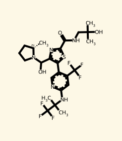 C[C@H]1CCCN1C(O)c1nc(C(=O)NCC(C)(C)O)sc1-c1cnc(NC(C)(C)C(F)(F)F)cc1C(F)(F)F